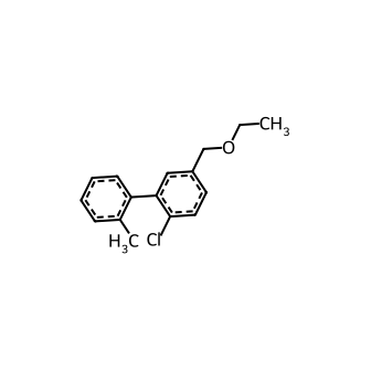 CCOCc1ccc(Cl)c(-c2ccccc2C)c1